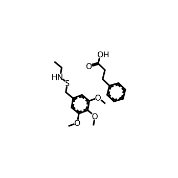 CCNSCc1cc(OC)c(OC)c(OC)c1.O=C(O)CCc1ccccc1